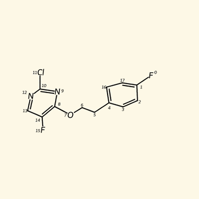 Fc1ccc(CCOc2nc(Cl)ncc2F)cc1